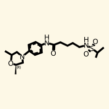 CC1CN(c2ccc(NC(=O)CCCCNS(=O)(=O)C(C)C)cc2)C[C@@H](C)O1